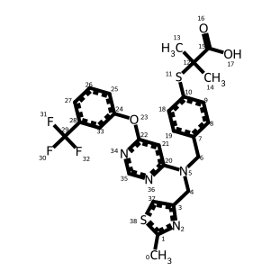 Cc1nc(CN(Cc2ccc(SC(C)(C)C(=O)O)cc2)c2cc(Oc3cccc(C(F)(F)F)c3)ncn2)cs1